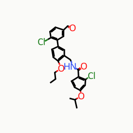 CCCOc1ccc(-c2cc(C=O)ccc2Cl)cc1CNC(=O)c1ccc(OC(C)C)cc1Cl